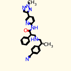 C[C@H](CNCC(C(=O)Nc1ccc(-c2cnn(C)n2)cn1)c1ccccc1)c1ccc(C#N)cc1